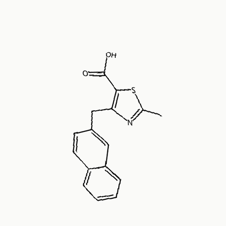 Cc1nc(Cc2ccc3ccccc3c2)c(C(=O)O)s1